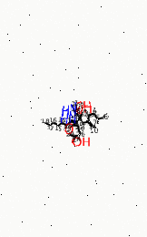 C/C=C(\C=C/C(C)C)CC(C)(CCCCCCCC)C(O)(NC)NC1CCC(O)CO1